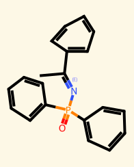 C/C(=N\P(=O)(c1ccccc1)c1ccccc1)c1ccccc1